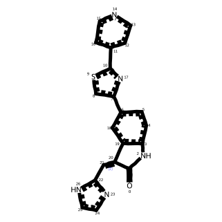 O=C1Nc2ccc(-c3csc(-c4ccncc4)n3)cc2/C1=C/c1ncc[nH]1